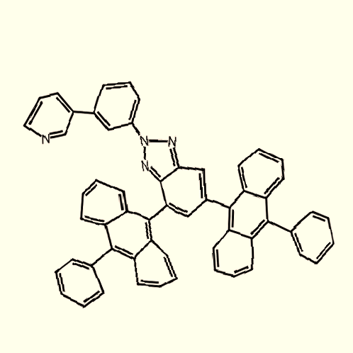 c1ccc(-c2c3ccccc3c(-c3cc(-c4c5ccccc5c(-c5ccccc5)c5ccccc45)c4nn(-c5cccc(-c6cccnc6)c5)nc4c3)c3ccccc23)cc1